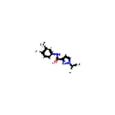 Cc1cc(NC(=O)c2ccn(C(F)F)n2)ccc1F